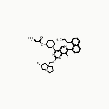 C=CCc1cccc2cccc(-c3ncc4c(N5CCC[C@@H](OC(=O)C=C)C5)nc(OC[C@@]56CCCN5C[C@H](F)C6)nc4c3F)c12